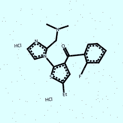 CCc1cc(C(=O)c2ccccc2F)c(-n2ccnc2CN(C)C)s1.Cl.Cl